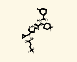 Cc1cccc(C(=O)N[C@H](c2cn3ncc([C@H](NC(=O)CCC(F)(F)F)C4CC4)cc3n2)C2CCC(F)(F)CC2)c1